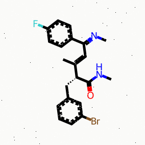 C/N=C(\C=C(/C)[C@@H](Cc1cccc(Br)c1)C(=O)NC)c1ccc(F)cc1